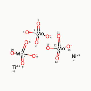 [Ni+2].[O]=[Mo](=[O])([O-])[O-].[O]=[Mo](=[O])([O-])[O-].[O]=[Mo](=[O])([O-])[O-].[Ti+4]